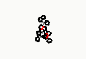 c1ccc(-c2ccc(N(c3ccccc3-c3ccccc3)c3c(-c4ccc(N(c5ccccc5)c5cccc6ccccc56)cc4)ccc4c5ccccc5n(-c5ccccc5)c34)cc2)cc1